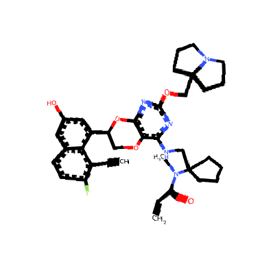 C#Cc1c(F)ccc2cc(O)cc(C3COc4c(NCC5(N(C)C(=O)C=C)CCCC5)nc(OCC56CCCN5CCC6)nc4O3)c12